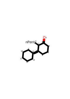 CCCCCC1C(=O)CCCC1=C1CCCCC1